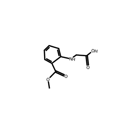 COC(=O)c1ccccc1NCC(=O)O